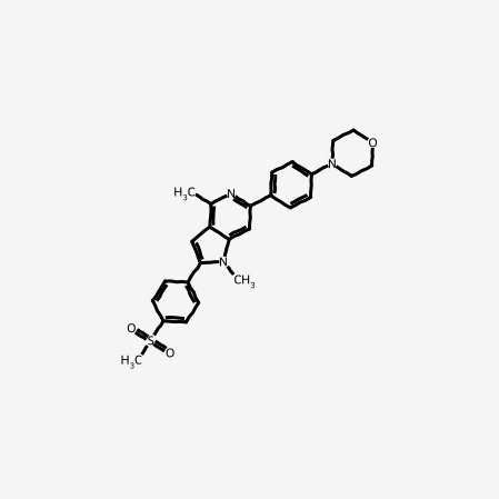 Cc1nc(-c2ccc(N3CCOCC3)cc2)cc2c1cc(-c1ccc(S(C)(=O)=O)cc1)n2C